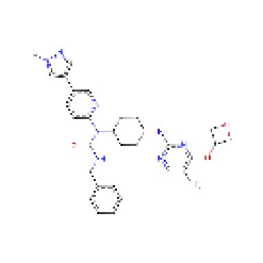 Cn1cc(-c2ccc(N(C(=O)NCc3ccccc3)C3CCC(Nc4ncc(C(F)(F)F)c(OC5COC5)n4)CC3)nc2)cn1